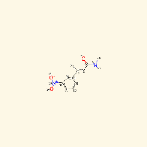 C/C(=C\C(=O)N(C)C)c1cccc([N+](=O)[O-])c1